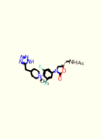 CC(=O)NC[C@H]1CN(c2cc(F)c([N+]3(C)CCC(Cc4nnn[nH]4)CC3)c(F)c2)C(=O)O1